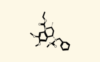 CCOC(=O)N1c2cc(OC)c(OC)cc2[C@@H](N(Cc2ccccc2)C(=O)SC)C[C@H]1C